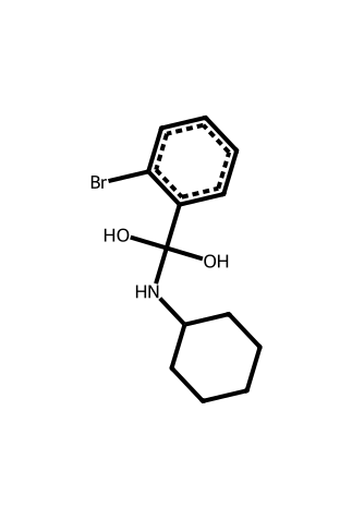 OC(O)(NC1CCCCC1)c1ccccc1Br